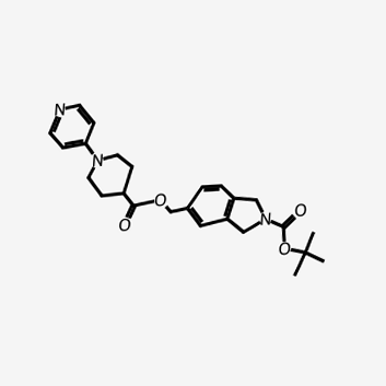 CC(C)(C)OC(=O)N1Cc2ccc(COC(=O)C3CCN(c4ccncc4)CC3)cc2C1